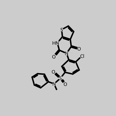 CN(c1ccccc1)S(=O)(=O)c1ccc(Cl)c(-n2c(=O)[nH]c3sccc3c2=O)c1